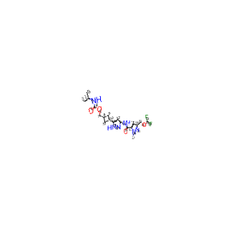 CC(C)NC(=O)OC[C@H]1C[C@@H](c2cc(NC(=O)c3cc(COC(F)F)nn3C)n[nH]2)C1